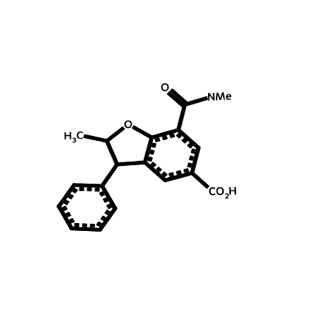 CNC(=O)c1cc(C(=O)O)cc2c1OC(C)C2c1ccccc1